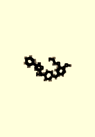 COc1ccc(CN2CCC(Nc3nc(-c4ccccc4)no3)CC2)cc1OCCF